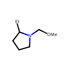 CCC1CCCN1COC